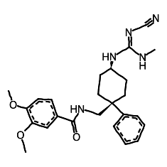 CN/C(=N\C#N)N[C@H]1CC[C@](CNC(=O)c2ccc(OC)c(OC)c2)(c2ccccc2)CC1